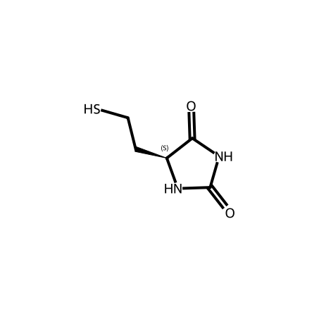 O=C1NC(=O)[C@H](CCS)N1